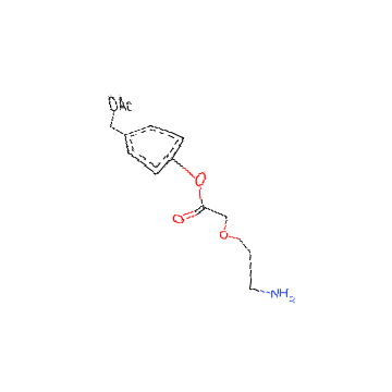 CC(=O)OCc1ccc(OC(=O)COCCN)cc1